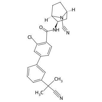 CC(C)(C#N)c1cccc(-c2ccc(C(=O)N[C@@H]3C[C@@H]4CC[C@H]3N4C#N)c(Cl)c2)c1